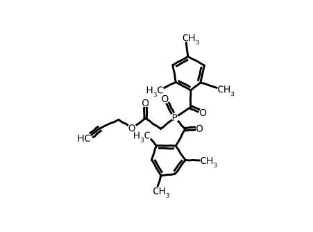 C#CCOC(=O)CP(=O)(C(=O)c1c(C)cc(C)cc1C)C(=O)c1c(C)cc(C)cc1C